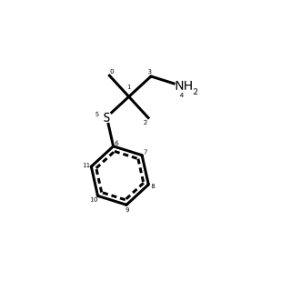 CC(C)(CN)Sc1ccccc1